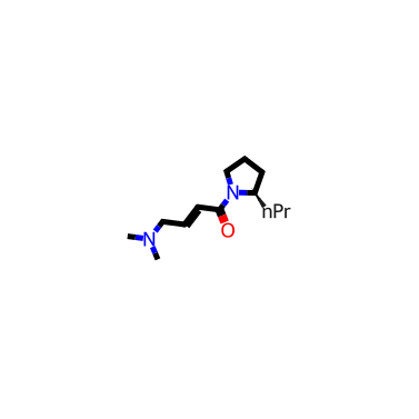 CCC[C@@H]1CCCN1C(=O)/C=C/CN(C)C